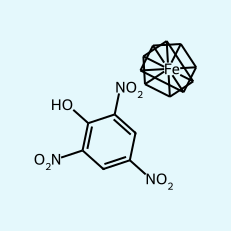 O=[N+]([O-])c1cc([N+](=O)[O-])c(O)c([N+](=O)[O-])c1.[CH]12[CH]3[CH]4[CH]5[CH]1[Fe]23451678[CH]2[CH]1[CH]6[CH]7[CH]28